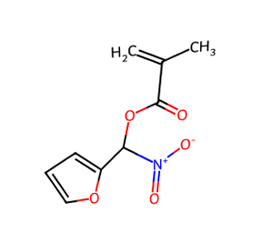 C=C(C)C(=O)OC(c1ccco1)[N+](=O)[O-]